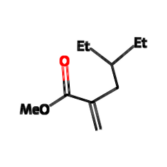 C=C(CC(CC)CC)C(=O)OC